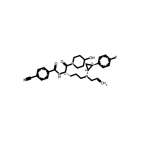 C=CCN(CCC[C@H](NC(=O)c1ccc(C#N)cc1)C(=O)N1CCC(O)CC1)[C@@H]1C[C@H]1c1ccc(F)cc1